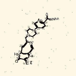 CCc1nc2cnc(CN3CCN(c4ccc(C(=O)NC)nc4)CC3)cc2[nH]c1=O